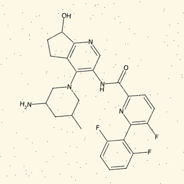 CC1CC(N)CN(c2c(NC(=O)c3ccc(F)c(-c4c(F)cccc4F)n3)cnc3c2CCC3O)C1